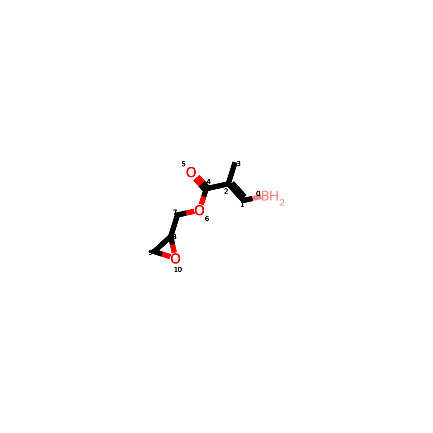 BC=C(C)C(=O)OCC1CO1